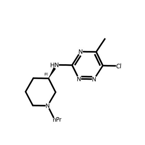 CCCN1CCC[C@@H](Nc2nnc(Cl)c(C)n2)C1